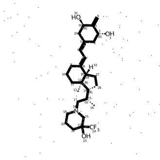 C=C1[C@H](O)CC(=CC=C2CCC[C@]3(C)[C@@H]([C@H](C)CN4CCCC(O)(C(F)(F)F)C4)CC[C@@H]23)C[C@H]1O